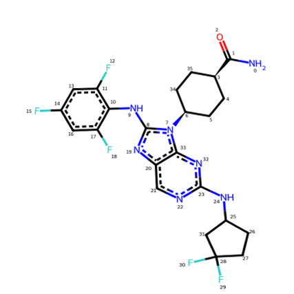 NC(=O)[C@H]1CC[C@@H](n2c(Nc3c(F)cc(F)cc3F)nc3cnc(NC4CCC(F)(F)C4)nc32)CC1